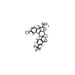 C[C@](C(N)=O)(c1ccc(Cl)cc1)C1CCC2(CC1)COc1cc(C(F)(F)F)ccc12